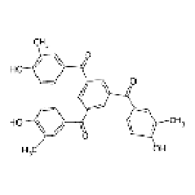 Cc1cc(C(=O)c2cc(C(=O)c3ccc(O)c(C)c3)cc(C(=O)c3ccc(O)c(C)c3)c2)ccc1O